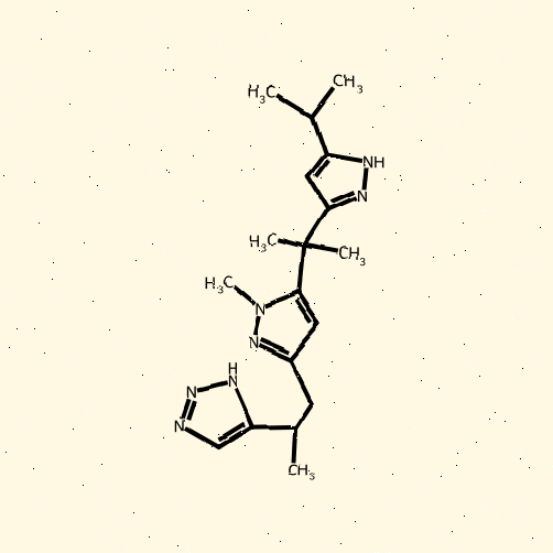 CC(C)c1cc(C(C)(C)c2cc(CC(C)c3cnn[nH]3)nn2C)n[nH]1